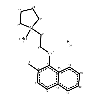 CCCC[N+]1(CCOc2c(C)ccc3ccccc23)CCCC1.[Br-]